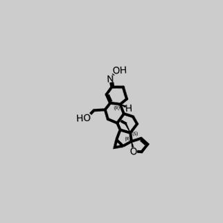 CC[C@]12CCC3C(CC(CO)C4=CC(=NO)CC[C@@H]43)C1C1CC1[C@@]21C=CCO1